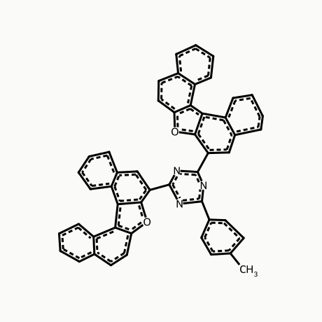 Cc1ccc(-c2nc(-c3cc4ccccc4c4c3oc3ccc5ccccc5c34)nc(-c3cc4ccccc4c4c3oc3ccc5ccccc5c34)n2)cc1